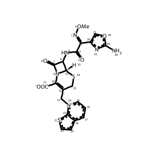 CON=C(C(=O)NC1C(=O)N2C(C(=O)[O-])=C(C[n+]3cccc4ccsc43)CS[C@@H]12)c1coc(N)n1